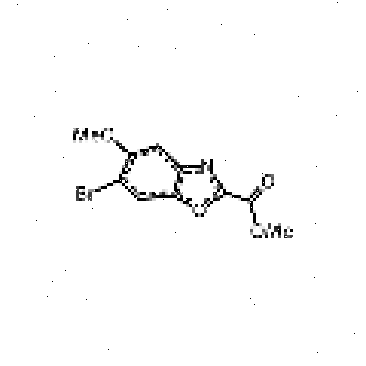 COC(=O)c1nc2cc(OC)c(Br)cc2o1